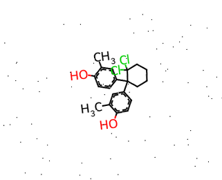 Cc1cc(C2(c3ccc(O)c(C)c3)CCCCC2(Cl)Cl)ccc1O